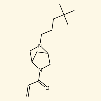 C=CC(=O)N1CC2CC1CN2CCCC(C)(C)C